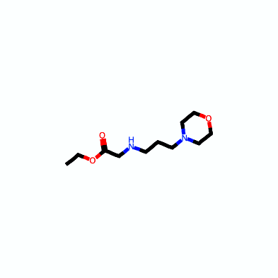 CCOC(=O)CNCCCN1CCOCC1